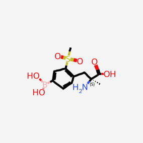 C[C@](N)(Cc1ccc(B(O)O)cc1S(C)(=O)=O)C(=O)O